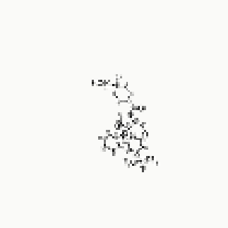 O=C([C@H]1CC[C@](F)(C(=O)O)CC1)N1CCC2(S(=O)(=O)c3ccccc3)c3ccc(C(F)(C(F)(F)F)C(F)(F)F)cc3OCC12